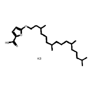 CC(C)CCCC(C)CCCC(C)CCCC(C)CCOc1ccc(C(=O)O)o1.Cl